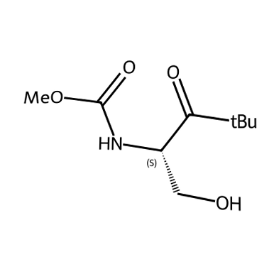 COC(=O)N[C@@H](CO)C(=O)C(C)(C)C